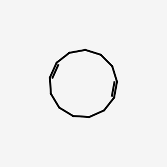 C1=CCCCCCC=CCCCC1